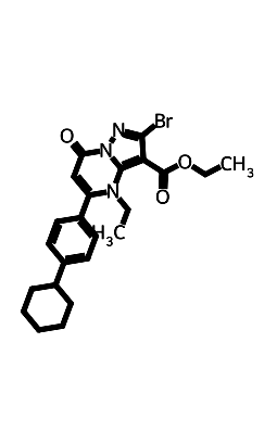 CCOC(=O)c1c(Br)nn2c(=O)cc(-c3ccc(C4CCCCC4)cc3)n(CC)c12